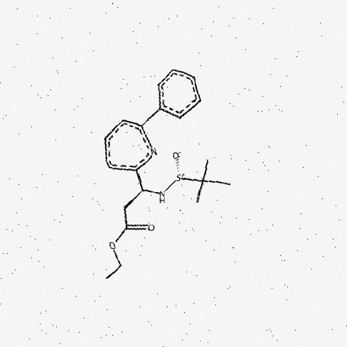 CCOC(=O)C[C@H](N[S@+]([O-])C(C)(C)C)c1cccc(-c2ccccc2)n1